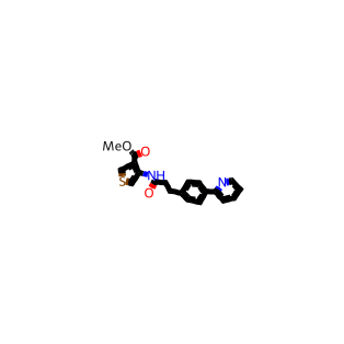 COC(=O)c1cscc1NC(=O)CCc1ccc(-c2ccccn2)cc1